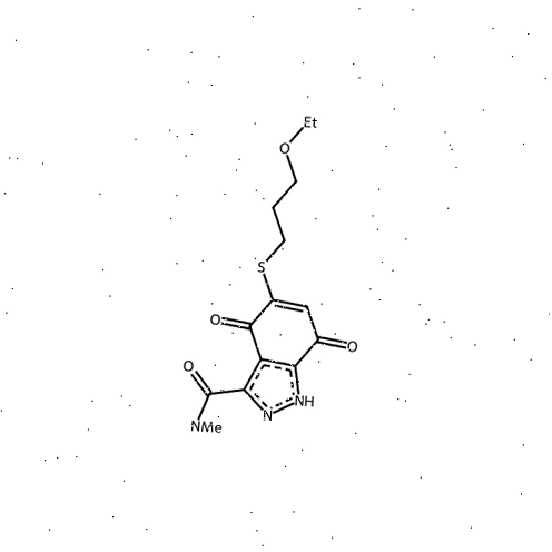 CCOCCCSC1=CC(=O)c2[nH]nc(C(=O)NC)c2C1=O